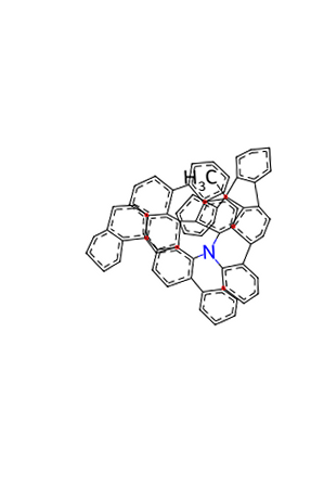 CC1(c2ccccc2)c2ccccc2-c2ccc(-c3ccccc3N(c3cc(-c4cccc5ccccc45)ccc3-c3ccccc3)c3ccccc3-c3cccc4cccc(-c5ccccc5)c34)cc21